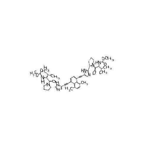 COC(=O)N[C@H](C(=O)N1CCC[C@@H]1c1ncc(C#Cc2ccc(C#Cc3cnc([C@@H]4CCCN4C(=O)[C@@H](NC(=O)OC)C(C)C)[nH]3)c3c(C)ccc(C)c23)[nH]1)C(C)C